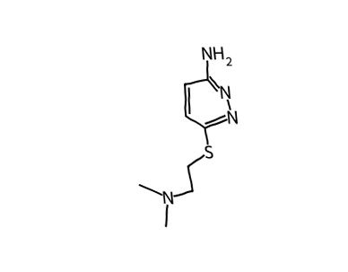 CN(C)CCSc1ccc(N)nn1